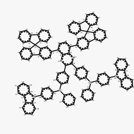 c1ccc(N(c2ccc(-c3nc4c(-c5ccc6c(c5)C5(c7ccccc7-c7ccccc75)c5ccccc5-6)ccc(-c5ccc6c(c5)C5(c7ccccc7-c7ccccc75)c5ccccc5-6)c4nc3-c3ccc(N(c4ccccc4)c4ccc(-n5c6ccccc6c6ccccc65)cc4)cc3)cc2)c2ccc(-n3c4ccccc4c4ccccc43)cc2)cc1